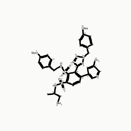 COc1ccc(CNS(=O)(=O)c2c(S(=O)(=O)NC(C)CN)ccc(-c3cncc(N)c3)c2-c2nnn(Cc3ccc(OC)cc3)n2)cc1